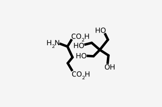 NC(CCC(=O)O)C(=O)O.OCC(CO)(CO)CO